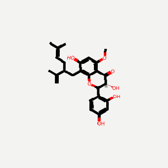 C=C(C)C(CC=C(C)C)Cc1c(O)cc(OC)c2c1OC(c1ccc(O)cc1O)[C@@H](O)C2=O